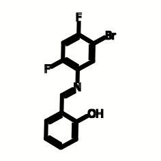 Oc1ccccc1C=Nc1cc(Br)c(F)cc1F